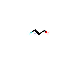 O=[C]/C=C/F